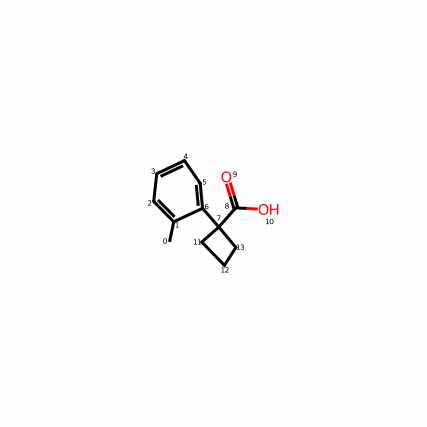 Cc1ccccc1C1(C(=O)O)CCC1